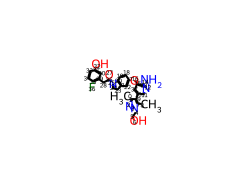 Cc1nn(CCO)c(C)c1-c1cnc(N)c(Oc2ccc3c(c2)CCN3C(=O)Cc2cc(O)ccc2F)c1